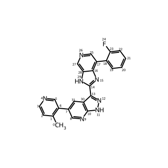 Cc1ccncc1-c1cnc2[nH]nc(-c3nc4c(-c5ccccc5F)cncc4[nH]3)c2c1